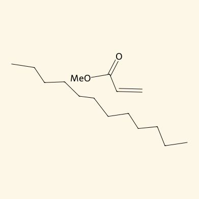 C=CC(=O)OC.CCCCCCCCCCCC